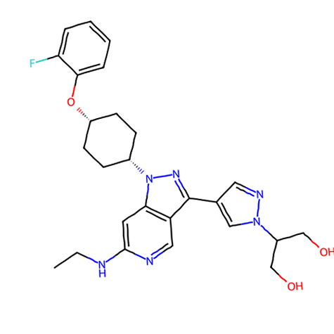 CCNc1cc2c(cn1)c(-c1cnn(C(CO)CO)c1)nn2[C@H]1CC[C@@H](Oc2ccccc2F)CC1